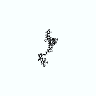 O=C1CCC(N2Cc3c(C#CCCCCC(=O)N4CCC(Nc5ncnc6[nH]cc(C(=O)c7ccc(Oc8ccccc8)cc7Cl)c56)CC4)cccc3C2=O)C(=O)N1